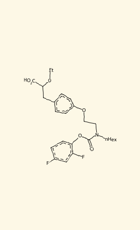 CCCCCCN(CCOc1ccc(CC(OCC)C(=O)O)cc1)C(=O)Oc1ccc(F)cc1F